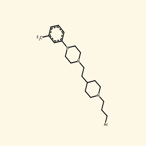 CC(=O)CCCN1CCC(CCN2CCN(c3cccc(C(F)(F)F)c3)CC2)CC1